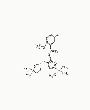 COc1ccc(Cl)cc1C(=O)/N=c1\sc(C(C)(C)C)cn1CC1CCC(C)(C)O1